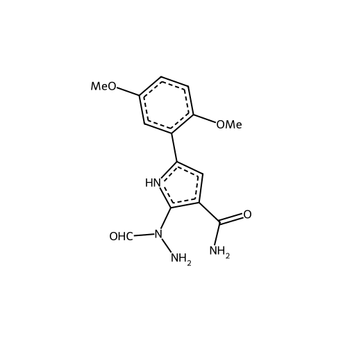 COc1ccc(OC)c(-c2cc(C(N)=O)c(N(N)C=O)[nH]2)c1